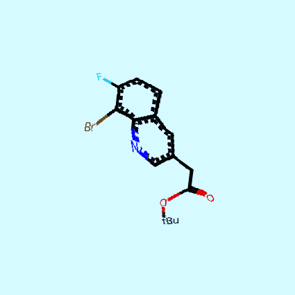 CC(C)(C)OC(=O)Cc1cnc2c(Br)c(F)ccc2c1